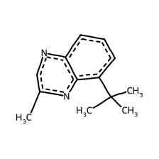 Cc1cnc2cccc(C(C)(C)C)c2n1